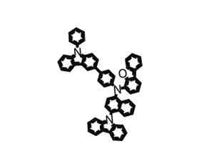 c1ccc(-n2c3ccccc3c3cc(-c4ccc(N(c5ccc(-n6c7ccccc7c7ccccc76)c6ccccc56)c5cccc6c5oc5ccccc56)cc4)ccc32)cc1